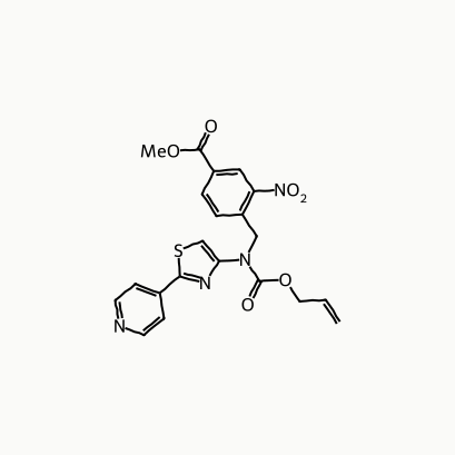 C=CCOC(=O)N(Cc1ccc(C(=O)OC)cc1[N+](=O)[O-])c1csc(-c2ccncc2)n1